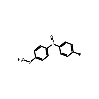 CSc1ccc([PH](=O)c2ccc(F)cc2)cc1